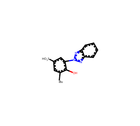 CCC(C)c1cc(S(=O)(=O)O)cc(-n2nc3ccccc3n2)c1O